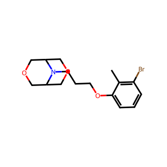 Cc1c(Br)cccc1OCCCN1C2COCC1COC2